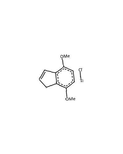 COc1ccc(OC)c2c1[CH]C=C2.[Cl][Ti]